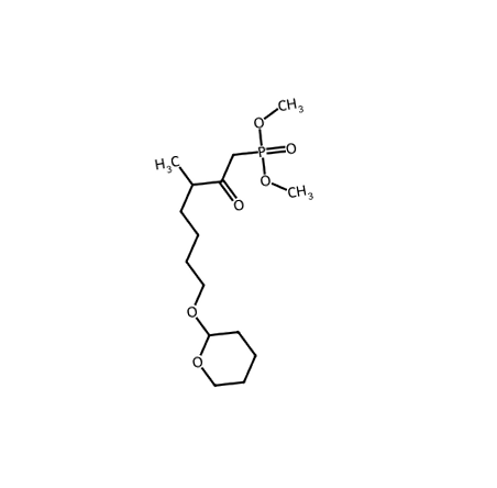 COP(=O)(CC(=O)C(C)CCCCOC1CCCCO1)OC